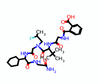 CC(F)CN(CC(=O)NC(C(=O)NCC(N)=O)C1CCCCC1)C(=O)C(NC(=O)CNC(=O)c1ccccc1C(=O)O)C(C)(C)C